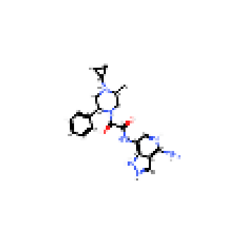 CC1CN(C(=O)C(=O)Nc2cnc(N)c3cn[nH]c23)C(c2ccccc2)CN1C1CC1